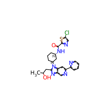 CC(O)Cc1nc2cnc(-c3ccccn3)cc2n1[C@@H]1CCC[C@H](NC(=O)c2ncc(Cl)s2)C1